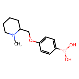 CN1CCCCC1COc1ccc(B(O)O)cc1